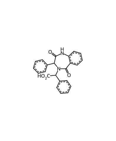 O=C(O)C(c1ccccc1)N1C(=O)c2ccccc2NC(=O)C1c1ccccc1